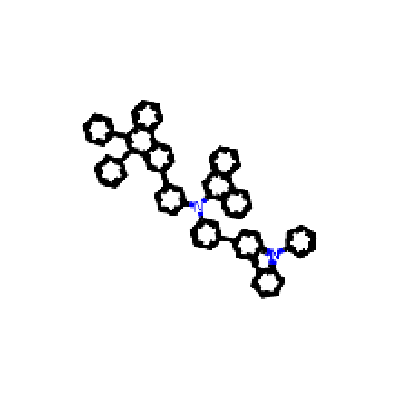 c1ccc(-c2c(-c3ccccc3)c3cc(-c4cccc(N(c5cccc(-c6ccc7c(c6)c6ccccc6n7-c6ccccc6)c5)c5cc6ccccc6c6ccccc56)c4)ccc3c3ccccc23)cc1